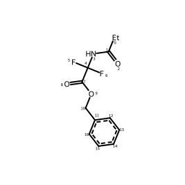 CCC(=O)NC(F)(F)C(=O)OCc1ccccc1